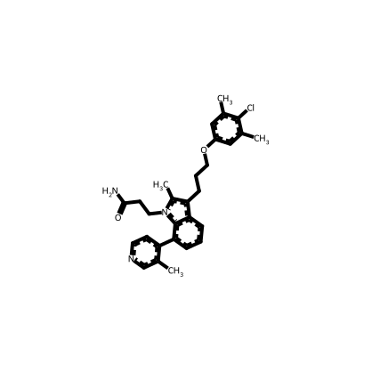 Cc1cnccc1-c1cccc2c(CCCOc3cc(C)c(Cl)c(C)c3)c(C)n(CCC(N)=O)c12